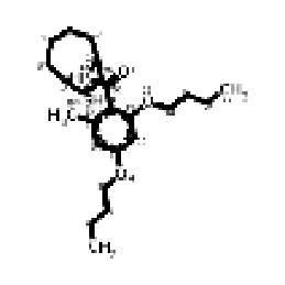 CCCCOc1cc(C)c(C(=O)[PH]2(S)C3CCCCC2CC3)c(OCCCC)c1